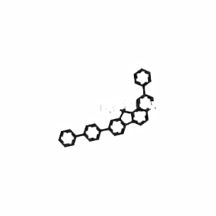 CC1(C)c2cc(-c3ccc(-c4ccccc4)cc3)ccc2-c2ccc3ncc(-c4ccccc4)cc3c21